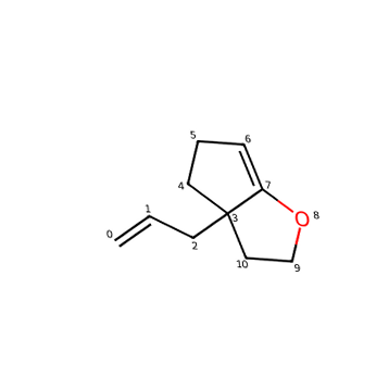 C=CCC12CCC=C1OCC2